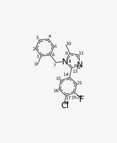 Cc1ccccc1Cn1c(C)cnc1-c1ccc(Cl)c(F)c1